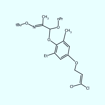 CCCOC(Oc1c(C)cc(OCC=C(Cl)Cl)cc1CC)C(C)=NOC(C)(C)C